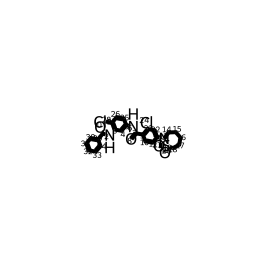 O=C(Nc1cc(NC(=O)c2ccc(N3CCCCCS3(=O)=O)cc2Cl)ccc1Cl)c1ccccc1